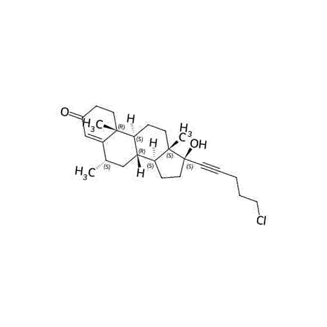 C[C@H]1C[C@@H]2[C@H](CC[C@@]3(C)[C@H]2CC[C@@]3(O)C#CCCCCl)[C@@]2(C)CCC(=O)C=C12